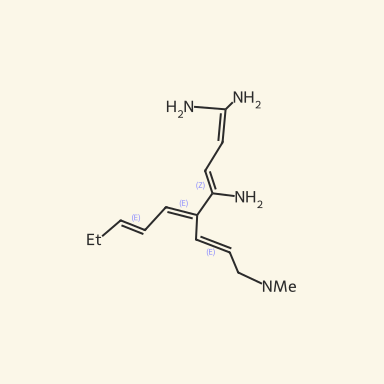 CC/C=C/C=C(\C=C\CNC)C(/N)=C/C=C(N)N